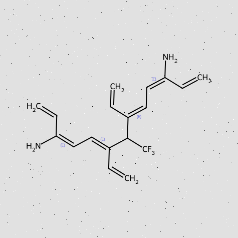 C=C/C(N)=C\C=C(/C=C)C(/C(C=C)=C/C=C(/N)C=C)C(F)(F)F